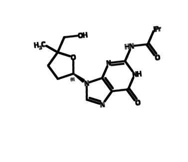 CC(C)C(=O)Nc1nc2c(ncn2[C@H]2CCC(C)(CO)O2)c(=O)[nH]1